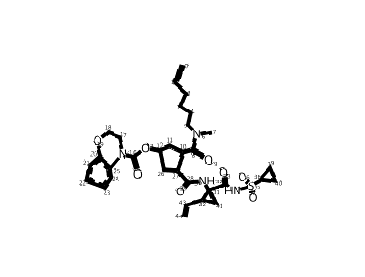 C=CCCCCN(C)C(=O)C1CC(OC(=O)N2CCOc3ccccc32)CC1C(=O)NC1(C(=O)NS(=O)(=O)C2CC2)CC1C=C